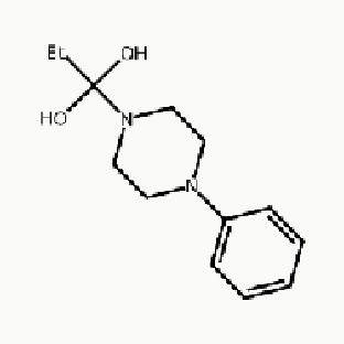 CCC(O)(O)N1CCN(c2ccccc2)CC1